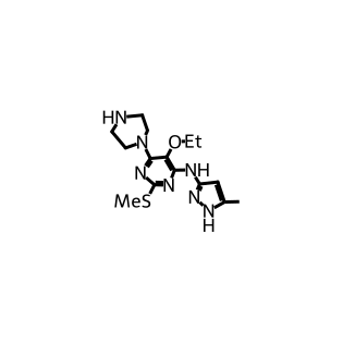 CCOc1c(Nc2cc(C)[nH]n2)nc(SC)nc1N1CCNCC1